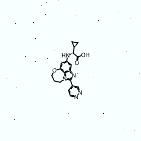 O=C(O)[C@@H](Nc1cc2c3c(c1)nc(-c1ccnnc1)n3CCCO2)C1CC1